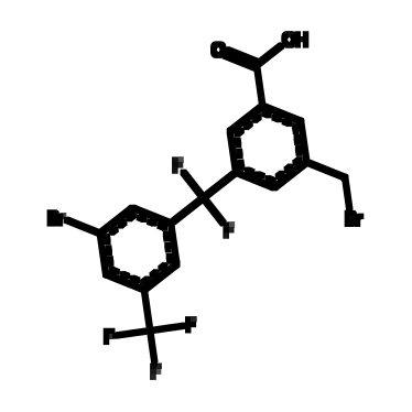 O=C(O)c1cc(CBr)cc(C(F)(F)c2cc(Br)cc(C(F)(F)F)c2)c1